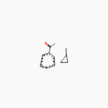 CC1CC1.COC(=O)c1ccccc1